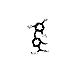 COC(OC)c1ccc(Cc2c(C)cc(O)cc2C)cc1C(C)C